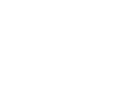 CN(C)C(=O)c1ccc(N(Cc2ccsc2)C(=O)c2ccc(O)cc2O)cc1